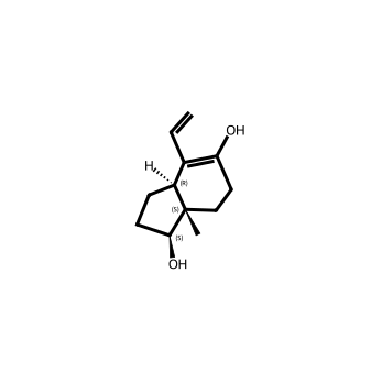 C=CC1=C(O)CC[C@]2(C)[C@@H](O)CC[C@@H]12